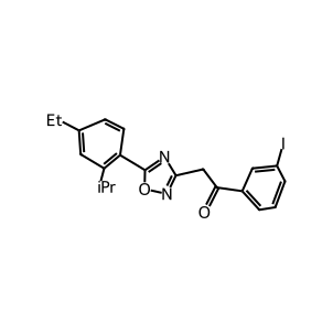 CCc1ccc(-c2nc(CC(=O)c3cccc(I)c3)no2)c(C(C)C)c1